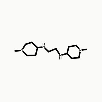 CN1CCC(NCCNC2CCN(C)CC2)CC1